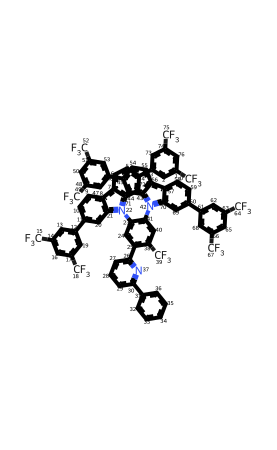 FC(F)(F)c1cc(-c2ccc3c4ccc(-c5cc(C(F)(F)F)cc(C(F)(F)F)c5)cc4n(-c4cc(-c5cccc(-c6ccccc6)n5)c(C(F)(F)F)cc4-n4c5cc(-c6cc(C(F)(F)F)cc(C(F)(F)F)c6)ccc5c5ccc(-c6cc(C(F)(F)F)cc(C(F)(F)F)c6)cc54)c3c2)cc(C(F)(F)F)c1